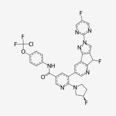 O=C(Nc1ccc(OC(F)(F)Cl)cc1)c1cnc(N2CC[C@@H](F)C2)c(-c2cnc3c(c2)-c2nn(-c4ncc(F)cn4)cc2C3F)c1